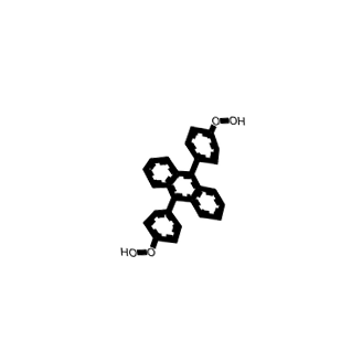 OOc1ccc(-c2c3ccccc3c(-c3ccc(OO)cc3)c3ccccc23)cc1